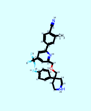 Cc1cc(-c2cc(C(F)(F)F)cc(COCC3(c4ccc(F)cc4)CCNCC3)n2)ccc1C#N